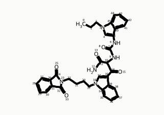 CCCn1cc(NC(=O)NC(C(N)=O)C(=O)c2cn(CCCCN3C(=O)c4ccccc4C3=O)c3ccccc23)c2ccccc21